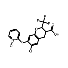 O=C(O)C1Cc2cc(Cl)c(Sc3cccc[n+]3[O-])cc2OC1C(F)(F)F